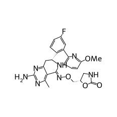 COc1cccc(-c2cc(F)ccc2[C@H]2Cc3nc(N)nc(C)c3/C(=N/OC[C@@H]3CNC(=O)O3)N2)n1